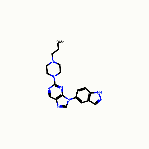 COCCN1CCN(c2ncc3ncn(-c4ccc5[nH]ncc5c4)c3n2)CC1